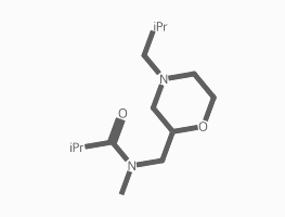 CC(C)CN1CCOC(CN(C)C(=O)C(C)C)C1